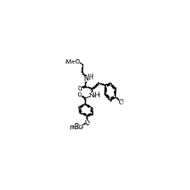 CCCCOc1ccc(C(=O)N/C(=C\c2ccc(Cl)cc2)C(=O)NCCOC)cc1